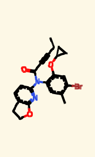 CCC#CC(=O)N(c1ccc2c(n1)OCC2)c1cc(C)c(Br)cc1OC1CC1